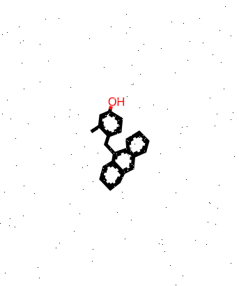 Cc1cc(O)ccc1Cc1c2ccccc2cc2ccccc12